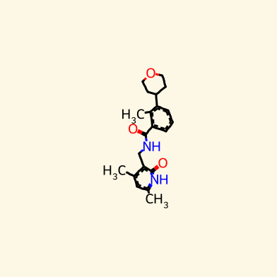 Cc1cc(C)c(CNC(=O)c2cccc(C3CCOCC3)c2C)c(=O)[nH]1